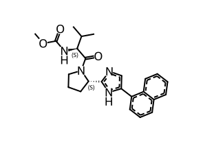 COC(=O)N[C@H](C(=O)N1CCC[C@H]1c1ncc(-c2cccc3ccccc23)[nH]1)C(C)C